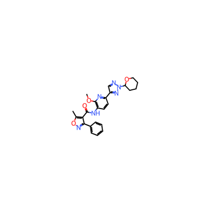 COc1nc(-c2cnn(C3CCCCO3)n2)ccc1NC(=O)c1c(-c2ccccc2)noc1C